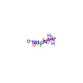 O=C(Cc1nc2cc(F)c(-c3ccc(C(=O)NCCc4ccccc4)cc3)cc2s1)NCC(=O)NC1CC1